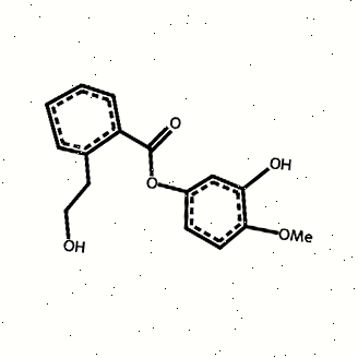 COc1ccc(OC(=O)c2ccccc2CCO)cc1O